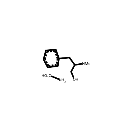 CNC(CO)Cc1ccccc1.NC(=O)O